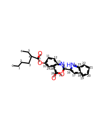 CCCCC(CC)C(=O)Oc1ccc2nc(-c3cc4ccccc4[nH]3)oc(=O)c2c1